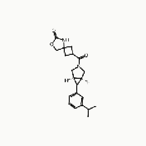 CC(C)c1cccc(C2[C@H]3CN(C(=O)C4CC5(COC(=O)N5)C4)C[C@@H]23)c1